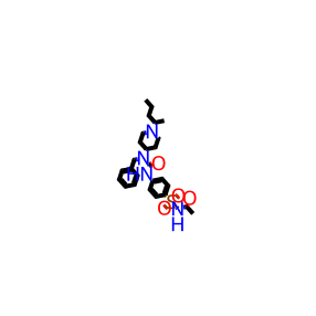 CCCC(C)N1CCC(N(Cc2ccccc2)C(=O)Nc2ccc(S(=O)(=O)NC(C)=O)cc2)CC1